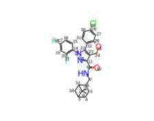 CC1(C)C2CCC(CNC(=O)c3nn(-c4ccc(F)cc4F)c4c3COc3cc(Cl)ccc3-4)C1C2